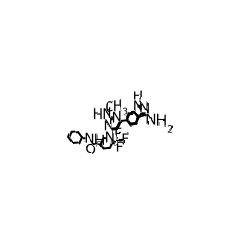 CNc1nc(-c2ccc3c(N)n[nH]c3c2)cc(N2C[C@H](C(=O)NC3CCCCC3)CC[C@@H]2C(F)(F)F)n1